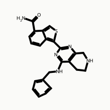 NC(=O)c1cccc2c(-c3nc4c(c(NCc5ccccc5)n3)CCNC4)scc12